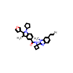 CC(=O)/C=C/c1ccc2nc(C3(NC(=O)c4ccc5c(c4)c(C)c(-c4ccoc4)n5C4CCCC4)CCC3)n(C)c2c1